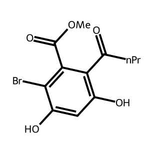 CCCC(=O)c1c(O)cc(O)c(Br)c1C(=O)OC